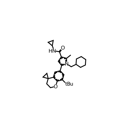 Cc1c(C(=O)NC2CC2)cc(-c2cc(C(C)(C)C)c3c(c2)C2(CCO3)CC2)n1CC1CCCCC1